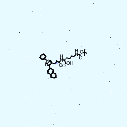 CC(C)(C)OC(=O)NCCCC[C@H](NC(=O)/C=C/c1cn(-c2ccccc2)nc1-c1ccc2ccccc2c1)C(=O)O